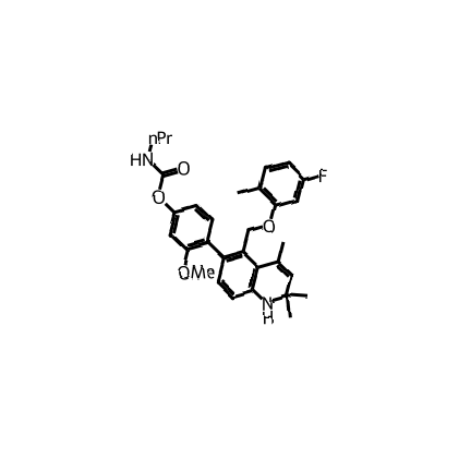 CCCNC(=O)Oc1ccc(-c2ccc3c(c2COc2cc(F)ccc2C)C(C)=CC(C)(C)N3)c(OC)c1